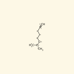 C#CCCCOP(C)C